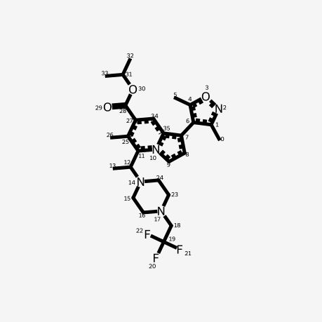 Cc1noc(C)c1-c1ccn2c(C(C)N3CCN(CC(F)(F)F)CC3)c(C)c(C(=O)OC(C)C)cc12